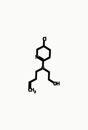 C=CCCN(CCO)C1=NCC(Cl)CC1